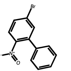 O=[N+]([O-])c1ccc(Br)cc1-c1ccccc1